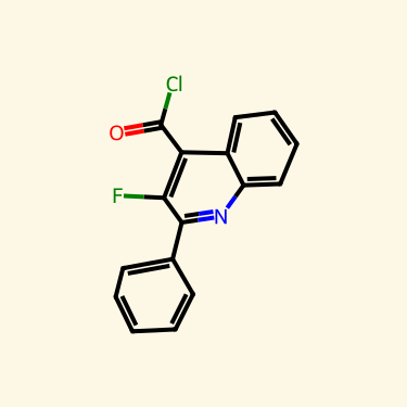 O=C(Cl)c1c(F)c(-c2ccccc2)nc2ccccc12